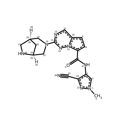 Cn1cc(NC(=O)c2ccc3cnc(N4C[C@@H]5CN[C@@H](C5)C4)nn23)c(C#N)n1